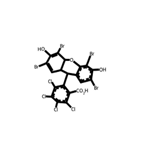 O=C(O)c1c(Cl)c(Cl)c(Cl)c(Cl)c1C1c2cc(Br)c(O)c(Br)c2OC2C(Br)=C(O)C(Br)=CC21